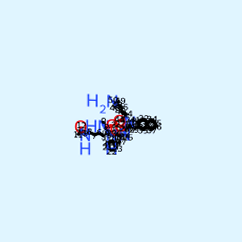 CNC(=O)[C@H](CCCCNC(C)=O)NC(=O)[C@@H](Cc1ccccc1)N(C)C(=O)[C@@H](Cc1ccc2ccccc2c1)N(C)C(=O)C=CCC(C)(C)N